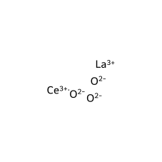 [Ce+3].[La+3].[O-2].[O-2].[O-2]